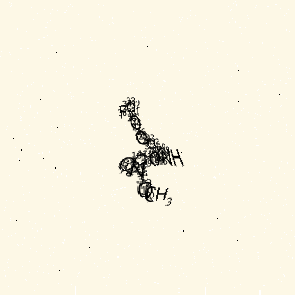 COCCCN1CCOc2ccc(CO[C@H]3CNCC[C@@H]3c3ccc(OCCOCc4ccccc4F)cc3)cc21